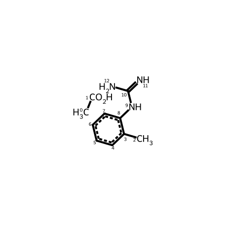 CC(=O)O.Cc1ccccc1NC(=N)N